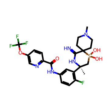 CN1CCC2(CC1)C(=N)N[C@](C)(c1cc(NC(=O)c3ccc(OC(F)(F)F)cn3)ccc1F)CS2(O)O